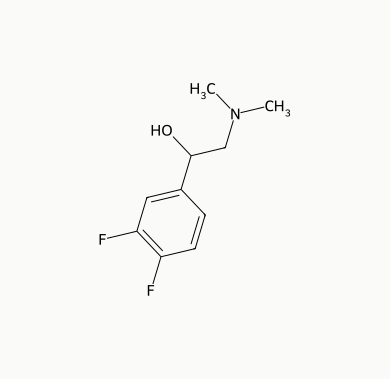 CN(C)CC(O)c1ccc(F)c(F)c1